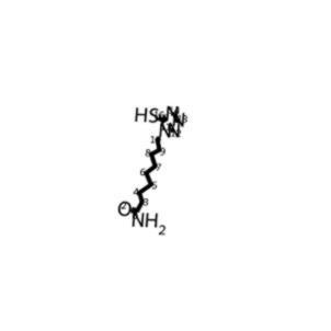 NC(=O)CCCCCCCCn1nnnc1S